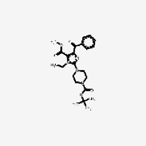 CCn1c(N2CCN(C(=O)OC(C)(C)C)CC2)nc(C(=O)c2ccccc2)c1C(=O)OC